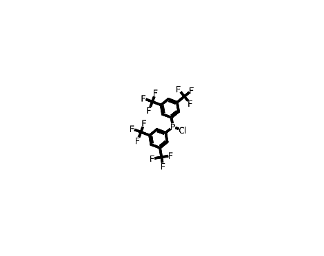 FC(F)(F)c1cc(P(Cl)c2cc(C(F)(F)F)cc(C(F)(F)F)c2)cc(C(F)(F)F)c1